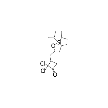 CC(C)[Si](OCCC1CC(=O)C1(Cl)Cl)(C(C)C)C(C)C